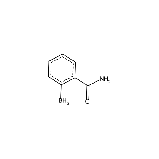 Bc1ccccc1C(N)=O